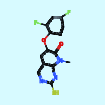 Cn1c(=O)c(Oc2ccc(F)cc2F)cc2cnc(S)nc21